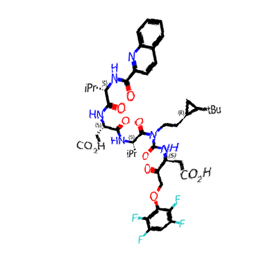 CC(C)[C@H](NC(=O)c1ccc2ccccc2n1)C(=O)N[C@@H](CC(=O)O)C(=O)N[C@H](C(=O)N(CC[C@H]1CC1C(C)(C)C)C(=O)N[C@@H](CC(=O)O)C(=O)COc1c(F)c(F)cc(F)c1F)C(C)C